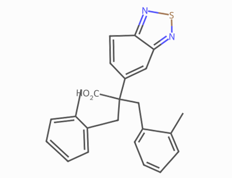 Cc1ccccc1CC(Cc1ccccc1C)(C(=O)O)c1ccc2nsnc2c1